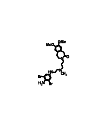 COc1cc2c(cc1OC)CC(=O)N(CCCN(C)CCNc1cc(Br)c(N)c(Br)c1)CC2